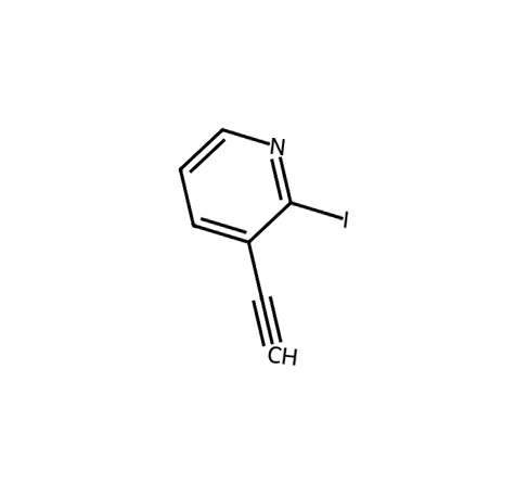 C#Cc1cccnc1I